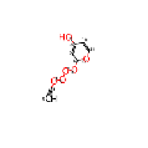 C#COOOOC1C=C(O)C=CO1